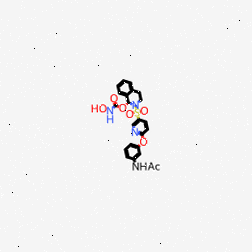 CC(=O)Nc1cccc(Oc2ccc(S(=O)(=O)N3CCc4ccccc4C3OC(=O)NO)cn2)c1